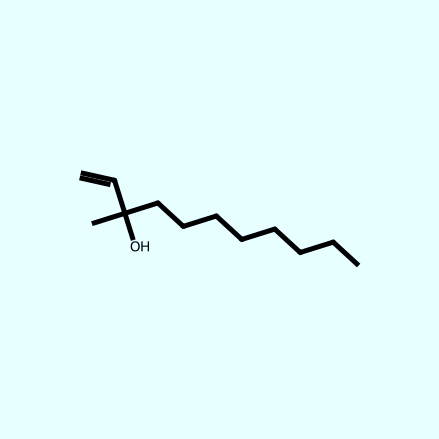 C=CC(C)(O)CCCCCCCC